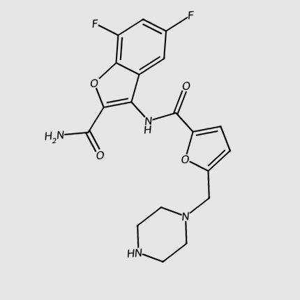 NC(=O)c1oc2c(F)cc(F)cc2c1NC(=O)c1ccc(CN2CCNCC2)o1